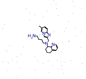 Cc1ccc2nc(CN(CCCCN)C3CCCc4cccnc43)cn2c1